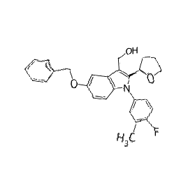 Cc1cc(-n2c([C@H]3CCCO3)c(CO)c3cc(OCc4ccccc4)ccc32)ccc1F